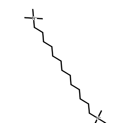 C[N+](C)(C)CCCCCCCCCCCCC[N+](C)(C)C